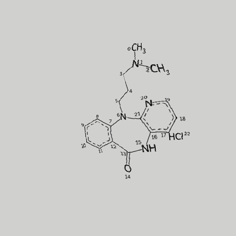 CN(C)CCCN1c2ccccc2C(=O)Nc2cccnc21.Cl